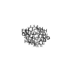 CCOc1ccc(CC(C)(C)NCC(O)c2cc(O)cc3c2OCC(=O)N3Oc2ccc(CC(C)(C)NCC(O)c3cc(O)cc4c3OCC(=O)N4)cc2)cc1